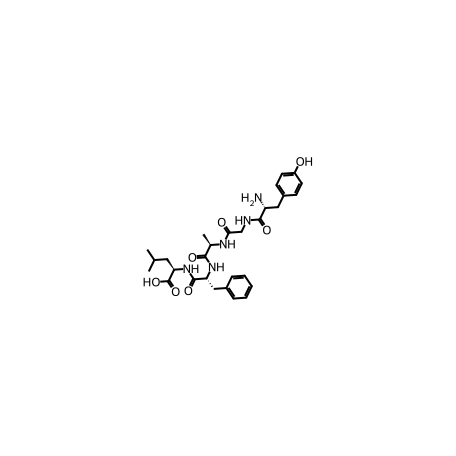 CC(C)C[C@@H](NC(=O)[C@@H](Cc1ccccc1)NC(=O)[C@@H](C)NC(=O)CNC(=O)[C@H](N)Cc1ccc(O)cc1)C(=O)O